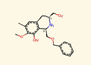 COc1c(C)cc2c(c1O)[C@H](COCc1ccccc1)N[C@H](CO)C2